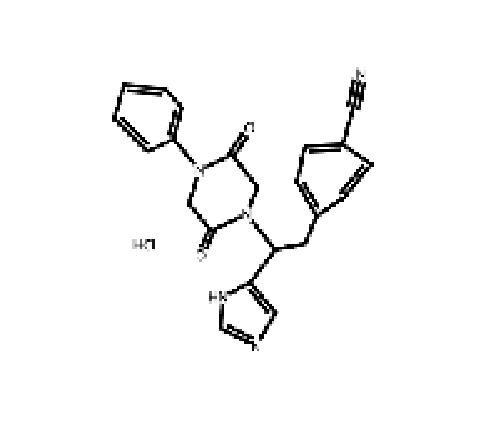 Cl.N#Cc1ccc(CC(c2cnc[nH]2)N2CC(=O)N(c3ccccc3)CC2=O)cc1